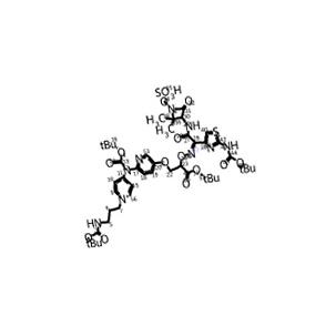 CC(C)(C)OC(=O)NCCC[n+]1ccc(N(C(=O)OC(C)(C)C)c2ccc(OCC(O/N=C(\C(=O)NC3C(=O)N(OS(=O)(=O)O)C3(C)C)c3csc(NC(=O)OC(C)(C)C)n3)C(=O)OC(C)(C)C)cn2)cc1